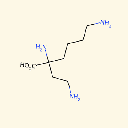 NCCCCC(N)(CCN)C(=O)O